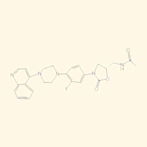 CC(=O)NC[C@H]1CN(c2ccc(N3CCN(c4ccnc5ccccc45)CC3)c(F)c2)C(=O)O1